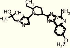 CCC1CCC(c2nc3c4ccc(OC)cc4nc(N)n3n2)CN1c1cnn(CC(C)(C)O)c1